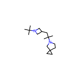 CC(C)(C)N1CC(CC(C)(C)N2CCC3(CC3)C2)C1